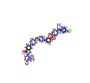 O=C1CCC(N2Cc3cc(N4CCC(CN5CCN(c6cccc(S(=O)(=O)N7CCC(Nc8ncc(Cl)cn8)CC7)c6)CC5)CC4)ccc3C2=O)C(=O)N1